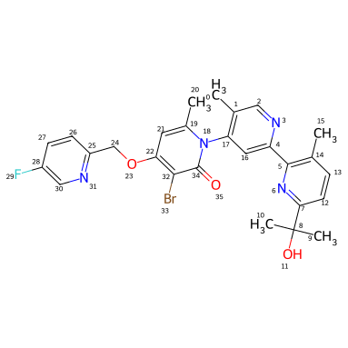 Cc1cnc(-c2nc(C(C)(C)O)ccc2C)cc1-n1c(C)cc(OCc2ccc(F)cn2)c(Br)c1=O